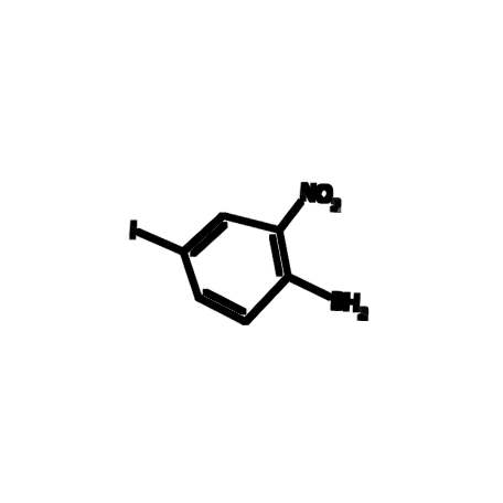 Bc1ccc(I)cc1[N+](=O)[O-]